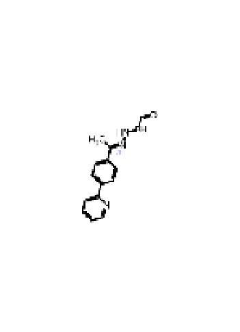 C/C(=N\NBC=O)c1ccc(-c2ccccn2)cc1